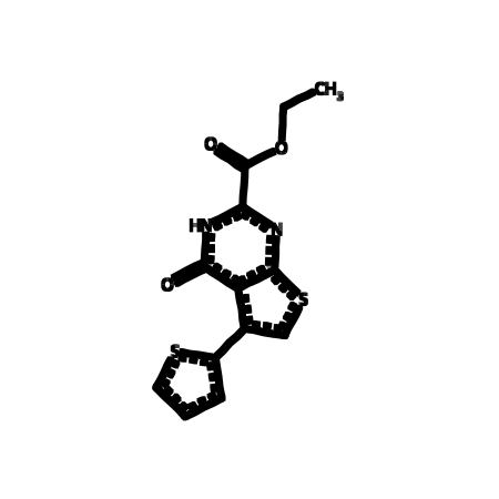 CCOC(=O)c1nc2scc(-c3cccs3)c2c(=O)[nH]1